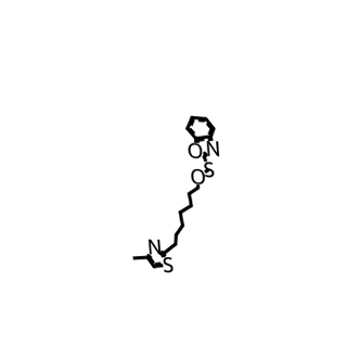 Cc1csc(CCCCCCCOSc2nc3ccccc3o2)n1